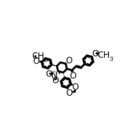 COc1ccc(/C=C/C(=O)C2C(=O)C[C@H](c3ccc(OC)cc3)[C@H]([N+](=O)[O-])[C@H]2c2ccc3c(c2)OCO3)cc1